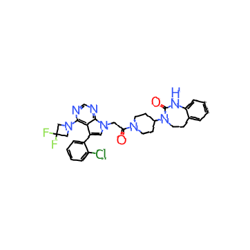 O=C(Cn1cc(-c2ccccc2Cl)c2c(N3CC(F)(F)C3)ncnc21)N1CCC(N2CCc3ccccc3NC2=O)CC1